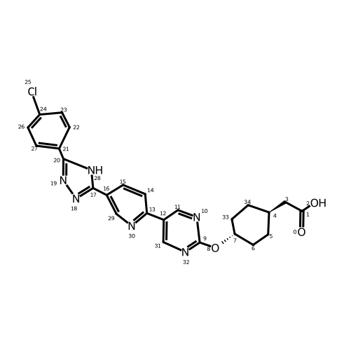 O=C(O)C[C@H]1CC[C@H](Oc2ncc(-c3ccc(-c4nnc(-c5ccc(Cl)cc5)[nH]4)cn3)cn2)CC1